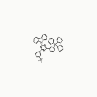 C[Si](C)(C)c1cccc(-c2nc(-c3cccc([Si](c4ccccc4)(c4ccccc4)c4ccccc4)c3)nc(-n3c4ccccc4c4ccccc43)n2)c1